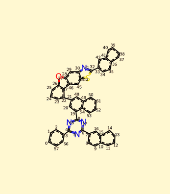 c1ccc(-c2nc(-c3ccc4ccccc4c3)nc(-c3cc(-c4cccc5oc6cc7nc(-c8ccc9ccccc9c8)sc7cc6c45)cc4ccccc34)n2)cc1